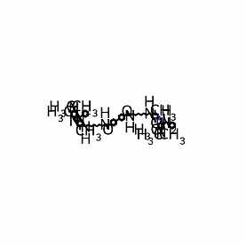 C=C1C=C(NCCCCCCNC(=O)c2ccc(-c3ccc(C(=O)NCCCCCCNc4cc5c(cc4C)nc4cc(C)c(N(C)C)cc4[n+]5-c4ccccc4)cc3)cc2)C(C)=C/C1=N/c1cc(C)c(N(C)C)cc1Nc1ccccc1